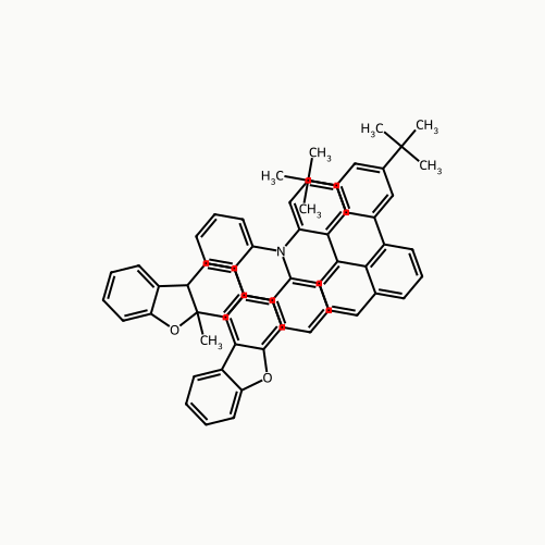 CC(C)(C)c1cc(-c2cccc3cccc(-c4ccccc4N(c4ccccc4C4=CC5(C)Oc6ccccc6C5C=C4)c4ccccc4-c4ccc5oc6ccccc6c5c4)c23)cc(C(C)(C)C)c1